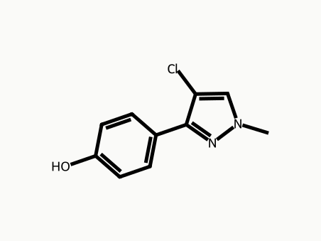 Cn1cc(Cl)c(-c2ccc(O)cc2)n1